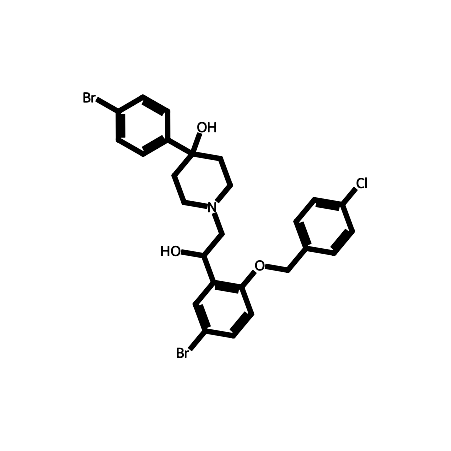 OC(CN1CCC(O)(c2ccc(Br)cc2)CC1)c1cc(Br)ccc1OCc1ccc(Cl)cc1